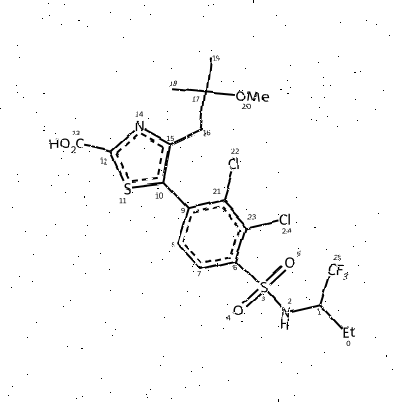 CCC(NS(=O)(=O)c1ccc(-c2sc(C(=O)O)nc2CC(C)(C)OC)c(Cl)c1Cl)C(F)(F)F